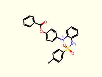 Cc1ccc(S(=O)(=O)Nc2ccccc2Nc2ccc(OC(=O)c3ccccc3)cc2)cc1